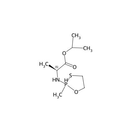 CC(C)OC(=O)[C@H](C)N[PH]1(C)OCCS1